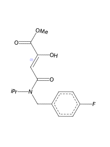 COC(=O)/C(O)=C/C(=O)N(Cc1ccc(F)cc1)C(C)C